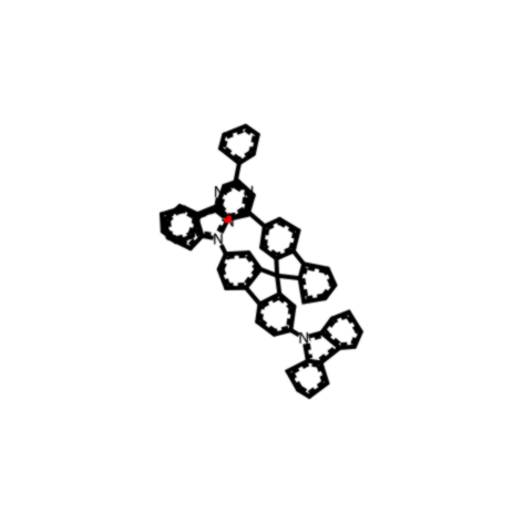 c1ccc(-c2nc(-c3ccccc3)nc(-c3ccc4c(c3)C3(c5ccccc5-4)c4cc(-n5c6ccccc6c6ccccc65)ccc4-c4ccc(-n5c6ccccc6c6ccccc65)cc43)n2)cc1